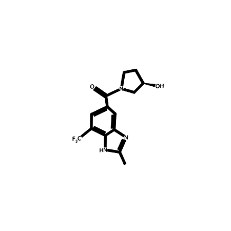 Cc1nc2cc(C(=O)N3CC[C@@H](O)C3)cc(C(F)(F)F)c2[nH]1